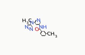 Cc1cccc(C(=O)Nc2cncc(N(C)c3cncnc3)c2)c1